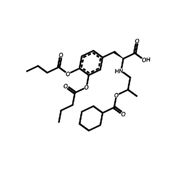 CCCC(=O)Oc1ccc(C[C@H](NCC(C)OC(=O)C2CCCCC2)C(=O)O)cc1OC(=O)CCC